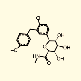 CNC(=O)[C@H]1O[C@@H](c2ccc(Cl)c(Cc3ccc(OC)cc3)c2)[C@H](O)[C@@H](O)[C@@H]1O